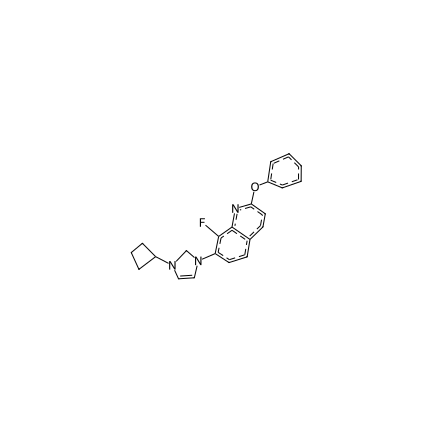 Fc1c(N2C=CN(C3CCC3)C2)ccc2ccc(Oc3ccccc3)nc12